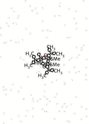 CSN1c2cc3c(cc2B2c4ccccc4Oc4cc(N(c5ccc(C)cc5)c5ccc(C)cc5)cc1c42)B1c2cc4c(cc2Oc2cc(N(c5ccc(C)cc5)c5ccc(C)cc5)cc(c21)N3SC)Nc1cc(N(c2ccc(C)cc2)c2ccc(C)cc2)cc2c1B4c1ccccc1N2c1ccccc1